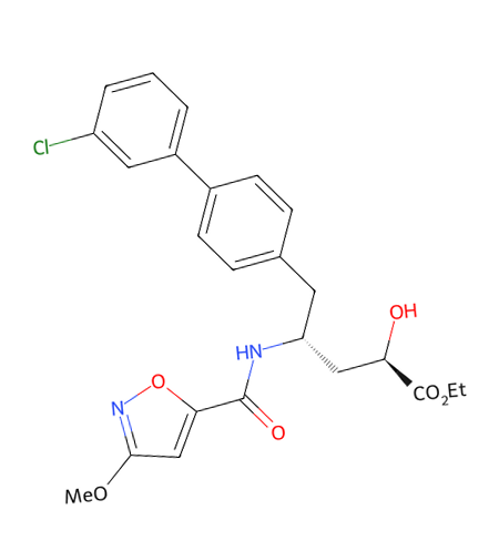 CCOC(=O)[C@H](O)C[C@@H](Cc1ccc(-c2cccc(Cl)c2)cc1)NC(=O)c1cc(OC)no1